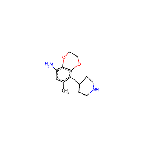 Cc1cc(N)c2c(c1C1CCNCC1)OCCO2